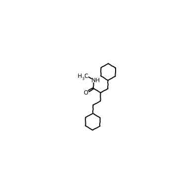 CNC(=O)C(CCC1CCCCC1)CC1CCCCC1